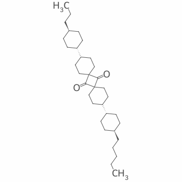 CCCCC[C@H]1CC[C@H](C2CCC3(CC2)C(=O)C2(CCC([C@H]4CC[C@H](CCC)CC4)CC2)C3=O)CC1